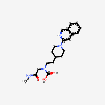 CNC(=O)CN(CCC1CCN(c2cc3ccccc3cn2)CC1)C(=O)O